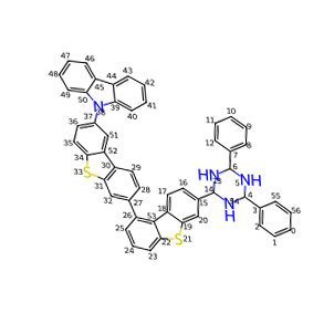 c1ccc(C2NC(c3ccccc3)NC(c3ccc4c(c3)sc3cccc(-c5ccc6c(c5)sc5ccc(-n7c8ccccc8c8ccccc87)cc56)c34)N2)cc1